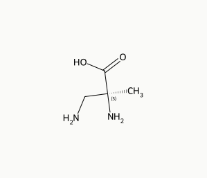 C[C@](N)(CN)C(=O)O